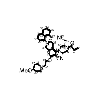 C=CC(=O)N1CCN(c2c(C#N)c(OCCN3CCC(OC)CC3)nc3c2CCN(c2cccc4cccc(C)c24)C3)C[C@@H]1CC#N